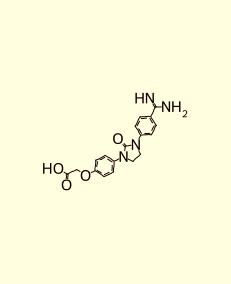 N=C(N)c1ccc(N2CCN(c3ccc(OCC(=O)O)cc3)C2=O)cc1